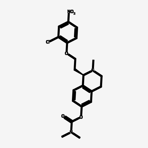 CN(C)C(=O)Oc1ccc2c(c1)CCN(C)[C@@H]2CCOc1ccc([N+](=O)[O-])cc1Cl